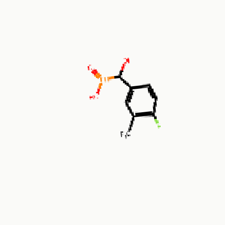 O=[PH](O)C(O)c1ccc(F)c(C(F)(F)F)c1